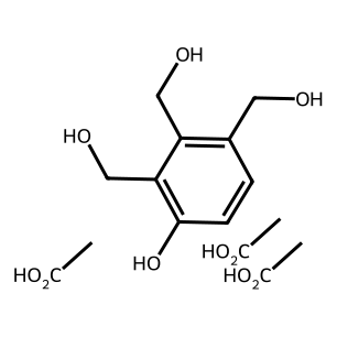 CC(=O)O.CC(=O)O.CC(=O)O.OCc1ccc(O)c(CO)c1CO